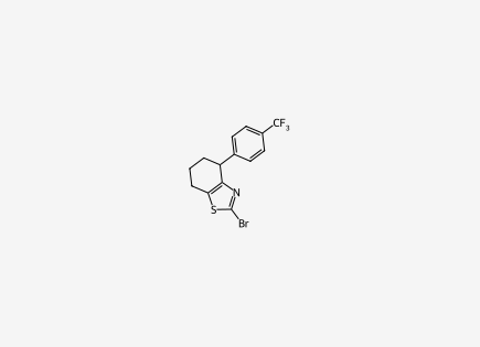 FC(F)(F)c1ccc(C2CCCc3sc(Br)nc32)cc1